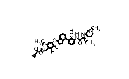 COc1cc(OC2CCc3c(-c4cccc(NC(=O)c5nc6c(n5C)CCN(C)C6)c4C)cccc32)c(Cl)c(F)c1CNOC(=O)C1CC1